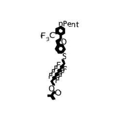 C=C(C)C(=O)OCCC(F)(F)C(F)(F)C(F)(F)C(F)(F)CCSc1ccc2cc(-c3ccc(CCCCC)cc3C(F)(F)F)oc2c1